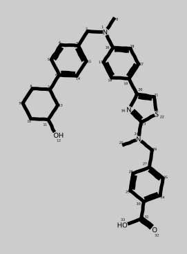 CN(Cc1ccc(C2CCCC(O)C2)cc1)c1ccc(-c2csc(N(C)Cc3ccc(C(=O)O)cc3)n2)cc1